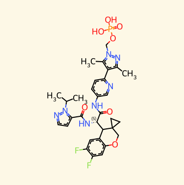 Cc1nn(COP(=O)(O)O)c(C)c1-c1ccc(NC(=O)[C@@H](NC(=O)c2ccnn2C(C)C)C2c3cc(F)c(F)cc3OCC23CC3)cn1